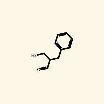 O=[C]C(CS)Cc1ccccc1